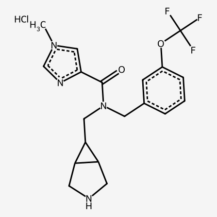 Cl.Cn1cnc(C(=O)N(Cc2cccc(OC(F)(F)F)c2)CC2C3CNCC32)c1